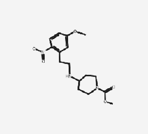 COC(=O)N1CCC(NCCc2cc(OC)ccc2[N+](=O)[O-])CC1